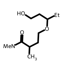 CCC(CCO)OCCC(C)C(=O)NC